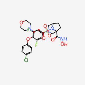 O=C(CCN1CCOCC1)N1CC2CCC(C(=O)NO)(C1)N2S(=O)(=O)c1cc(F)c(Oc2ccc(Cl)cc2)c(F)c1